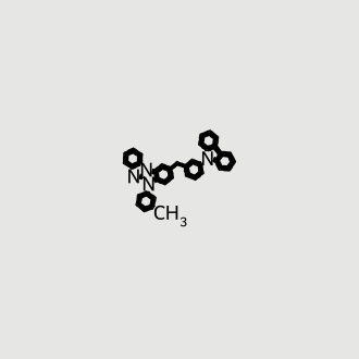 Cc1cccc(-n2c3ccc(Cc4cccc(-n5c6ccccc6c6ccccc65)c4)cc3n3c4ccccc4nc23)c1